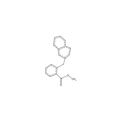 CSC(=O)c1ccccc1Cc1ccc2ccccc2c1